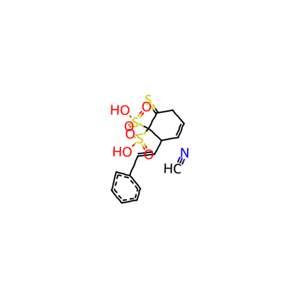 C#N.O=S(=O)(O)C1(S(=O)(=O)O)C(=S)CC=CC1C=Cc1ccccc1